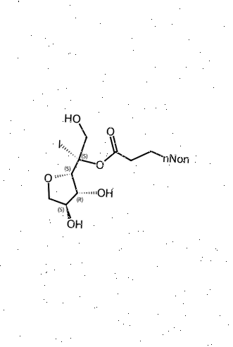 CCCCCCCCCCCC(=O)O[C@](I)(CO)[C@H]1OC[C@H](O)[C@H]1O